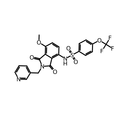 COc1ccc(NS(=O)(=O)c2ccc(OC(F)(F)F)cc2)c2c1C(=O)N(Cc1cccnc1)C2=O